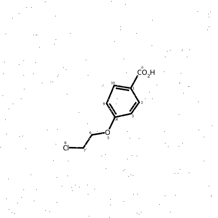 O=C(O)c1ccc(OCCCl)cc1